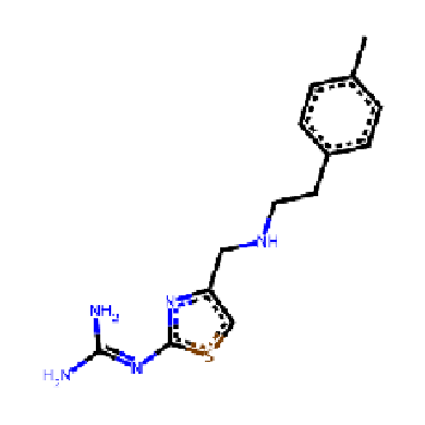 Cc1ccc(CCNCc2csc(N=C(N)N)n2)cc1